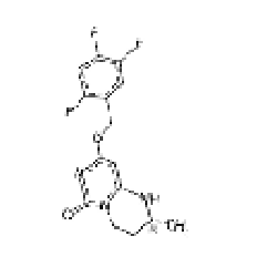 C[C@@H]1CCn2c(cc(OCc3cc(F)c(F)cc3F)nc2=O)N1